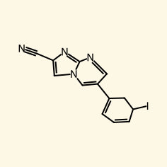 N#Cc1cn2cc(C3=CC=CC(I)C3)cnc2n1